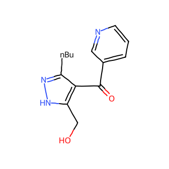 CCCCc1n[nH]c(CO)c1C(=O)c1cccnc1